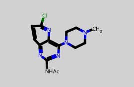 CC(=O)Nc1nc(N2CCN(C)CC2)c2nc(Cl)ccc2n1